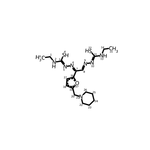 CCN/C(S)=N/N=C(/C=N/N=C(\S)NCC)c1ccc(CN2CCCCC2)o1